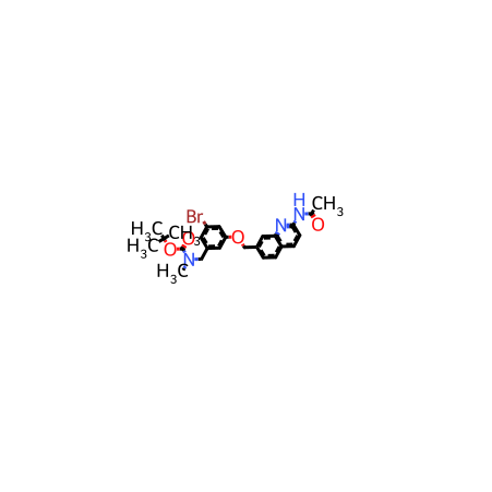 CC(=O)Nc1ccc2ccc(COc3cc(Br)cc(CN(C)C(=O)OC(C)(C)C)c3)cc2n1